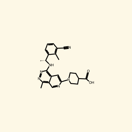 Cc1c(C#N)cccc1[C@@H](C)Nc1nnc(C)c2cnc(N3CCC(C(=O)O)CC3)cc12